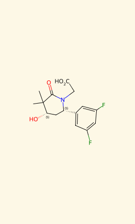 CC1(C)C(=O)N(CC(=O)O)[C@H](c2cc(F)cc(F)c2)C[C@@H]1O